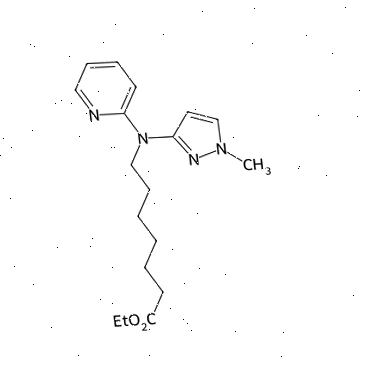 CCOC(=O)CCCCCCN(c1ccccn1)c1ccn(C)n1